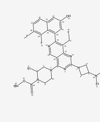 CCC1CN(c2nc(N3CC(N(CC)CC)C3)nc3c(CF)c(-c4cc(O)cc5ccc(F)c(F)c45)ncc23)CCN1C(=O)OC(C)(C)C